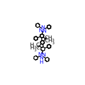 CC1(C)C2=C(c3cc4c(cc31)-c1c(-c3ccccc3)cc(-c3nc(-c5ccccc5)nc(C5C=CC=CC5)n3)cc1C4(C)C)C(c1ccccc1)CC(C1=NC(C3=CCCC=C3)NC(C3C=CC=CC3)=N1)=C2